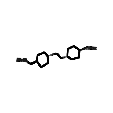 CCCCCC[C@H]1CC[C@H](CC[C@H]2CC[C@H](COC)CC2)CC1